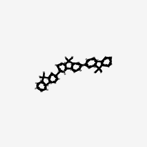 CC1(C)c2ccccc2-c2ccc(-c3ccc4c(c3)C(C)(C)c3ccc(-c5ccc6c(c5)C(C)(C)c5ccccc5-6)nc3-4)cc21